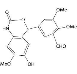 COc1cc2c(cc1O)C(c1cc(C=O)c(OC)c(OC)c1)OC(=O)N2